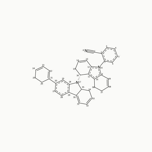 N#Cc1ccccc1-n1c2c(c3c1C=CC[C@H]3N1c3cc(C4=CC=CCC4)ccc3C3=CC=CCC31)CCC=C2